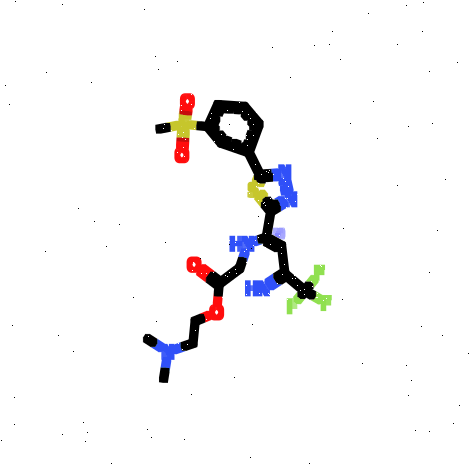 CN(C)CCOC(=O)CN/C(=C\C(=N)C(F)(F)F)c1nnc(-c2cccc(S(C)(=O)=O)c2)s1